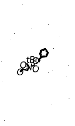 CC(C)(C)C1OC(=O)CN1C(=O)OCc1ccccc1